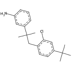 CC(C)(C)c1ccc(CC(C)(C)c2cccc(N)c2)c(Cl)c1